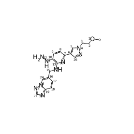 COCCn1cc(-c2ccc(NN)c(NCc3ccc4ncnn4c3)n2)cn1